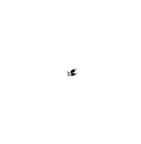 O=[Se].[O]=[Sn]